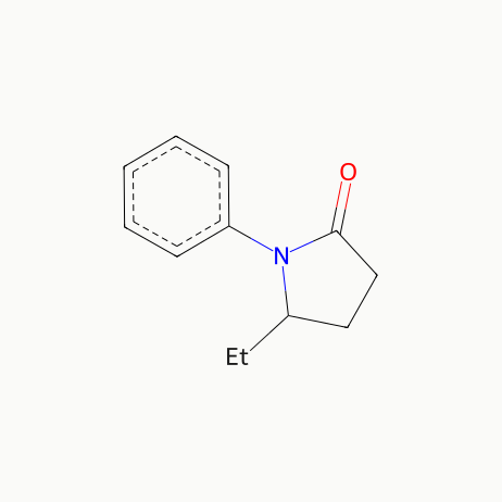 CCC1CCC(=O)N1c1ccccc1